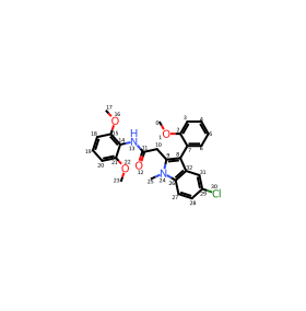 COc1ccccc1-c1c(CC(=O)Nc2c(OC)cccc2OC)n(C)c2ccc(Cl)cc12